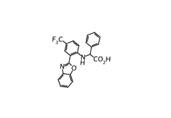 O=C(O)C(Nc1ccc(C(F)(F)F)cc1-c1nc2ccccc2o1)c1ccccc1